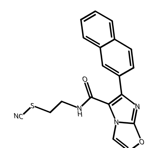 N#CSCCNC(=O)c1c(-c2ccc3ccccc3c2)nc2occn12